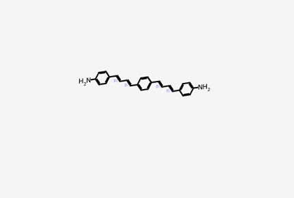 Nc1ccc(/C=C/C=C/c2ccc(/C=C/C=C/c3ccc(N)cc3)cc2)cc1